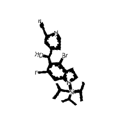 CC(C)[Si](C(C)C)(C(C)C)n1ccc2c(Br)c(C(O)c3ccnc(C#N)c3)c(F)cc21